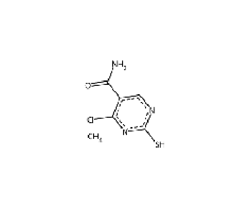 C.NC(=O)c1cnc(S)nc1Cl